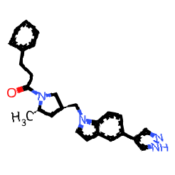 C[C@H]1C[C@H](Cn2ccc3cc(-c4cn[nH]c4)ccc32)CN1C(=O)CCc1ccccc1